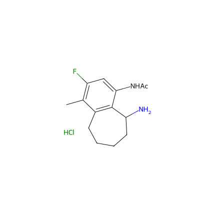 CC(=O)Nc1cc(F)c(C)c2c1C(N)CCCC2.Cl